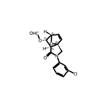 O=CO[C@@H]1[C@@H]2C=C[C@@]3(CN(c4cccc(Cl)c4)C(=O)[C@@H]13)O2